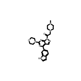 CN1CCN(CC(=O)n2ncc3c(-c4ccc5cc[nH]c5c4)nc(N4CCOCC4)nc32)CC1